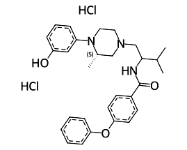 CC(C)C(CN1CCN(c2cccc(O)c2)[C@@H](C)C1)NC(=O)c1ccc(Oc2ccccc2)cc1.Cl.Cl